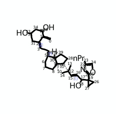 C=C1/C(=C\C=C2/CCC[C@]3(C)[C@@H](C(C)(C)/C=C/C(O)C4(c5nc(CCC)co5)CC4)CC[C@@H]23)CC(O)C[C@@H]1O